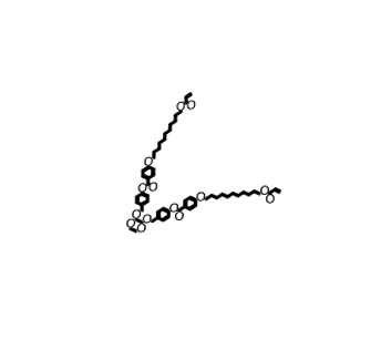 C=CC(=O)OCCCCCCCCCCCOc1ccc(C(=O)Oc2ccc(COC3OCCOC3OCc3ccc(OC(=O)c4ccc(OCCCCCCCCCCCOC(=O)C=C)cc4)cc3)cc2)cc1